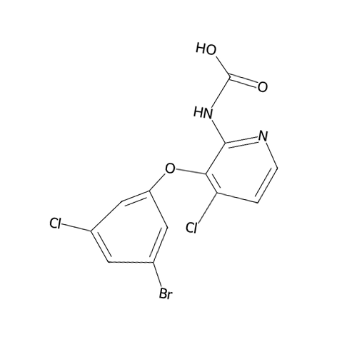 O=C(O)Nc1nccc(Cl)c1Oc1cc(Cl)cc(Br)c1